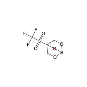 O=S(=O)(C(F)(F)F)C12COB(OC1)OC2